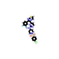 O=S(=O)(c1ccc(Cl)cc1)N1CCC(Nc2nccc(-c3c(-c4ccc(F)c(F)c4)nc4sccn34)n2)CC1